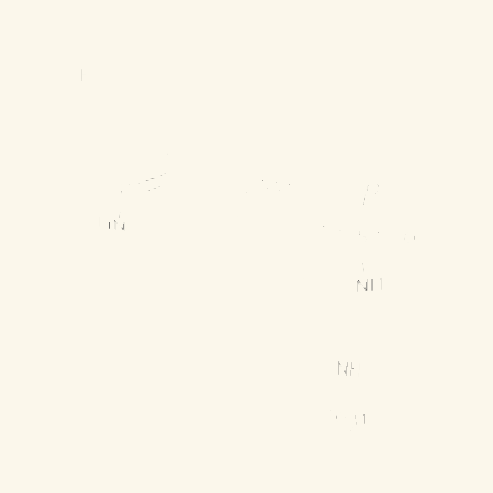 O=C(O)NCC1NS(=O)(=O)c2ccc(-c3c[nH]c4cc(F)ccc34)cc21